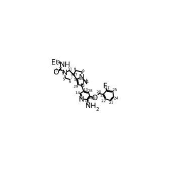 CCNC(=O)N1CC[C@@]2(CCn3nc(-c4cnc(N)c(OCc5ccccc5F)c4)cc32)C1